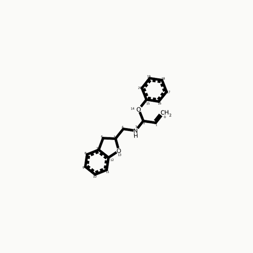 C=CC(NCC1Cc2ccccc2O1)Oc1ccccc1